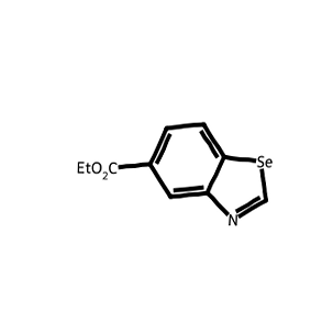 CCOC(=O)c1ccc2[se]cnc2c1